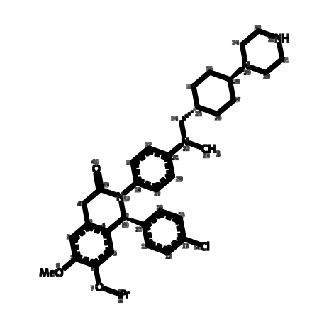 COc1cc2c(cc1OC(C)C)[C@H](c1ccc(Cl)cc1)N(c1ccc(N(C)C[C@H]3CC[C@H](N4CCNCC4)CC3)cc1)C(=O)C2